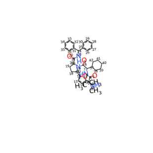 CNC(C)C(=O)NC(C(=O)N1[C@@H](c2ccc(C)o2)CC[C@H]1C(=O)NC(c1ccccc1)c1ccccc1)C1CCCCC1